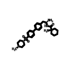 CN1CCN(S(=O)(=O)c2ccc(-c3ccc(C[C@H](N)NC(=O)C4(N)CCCCC4)cc3)cc2)CC1